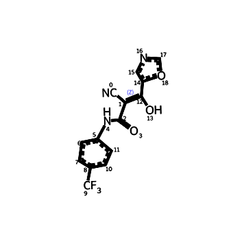 N#C/C(C(=O)Nc1ccc(C(F)(F)F)cc1)=C(/O)c1cnco1